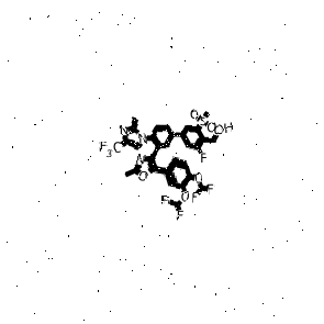 Cc1nc(-c2cc(-c3cc(F)c(CO)c(S(C)(=O)=O)c3)ccc2-n2cc(C(F)(F)F)nc2C)c(-c2ccc(OC(F)F)c(OC(F)F)c2)o1